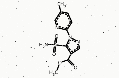 COC(=O)c1cnn(-c2ccc(C)cn2)c1S(N)(=O)=O